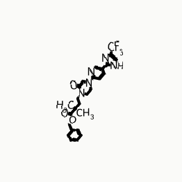 CC(C)(CCN1CCN(c2ccc(-c3nc(C(F)(F)F)c[nH]3)cn2)CC1=O)C(=O)OCc1ccccc1